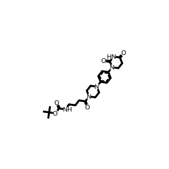 CC(C)(C)OC(=O)NCCCC(=O)N1CCN(c2ccc(N3CCC(=O)NC3=O)cc2)CC1